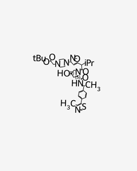 Cc1ncsc1-c1ccc(C(C)NC(=O)[C@@H]2C[C@@H](O)CN2C(=O)C(c2cc(N3CCN(CC(=O)OC(C)(C)C)CC3)no2)C(C)C)cc1